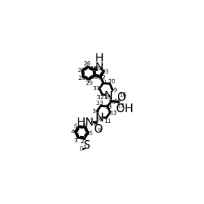 CSc1cccc(NC(=O)N2CCC(C(C(=O)O)N3CCC(c4c[nH]c5ccccc45)CC3)CC2)c1